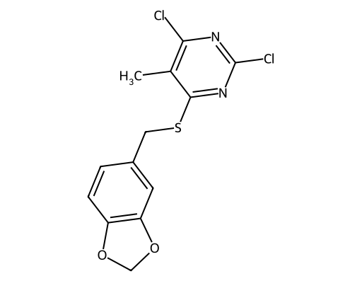 Cc1c(Cl)nc(Cl)nc1SCc1ccc2c(c1)OCO2